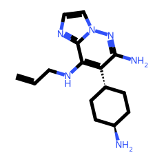 C=CCNc1c2nccn2nc(N)c1[C@H]1CC[C@H](N)CC1